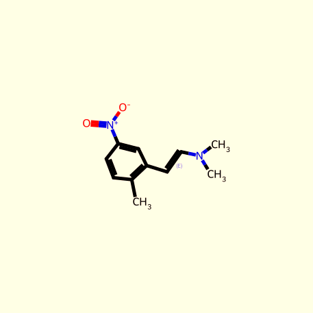 Cc1ccc([N+](=O)[O-])cc1/C=C/N(C)C